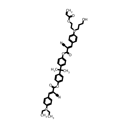 C=CC(=O)OCCN(CCCO)c1ccc(/C=C(\C#N)C(=O)Oc2ccc(C(C)(C)c3ccc(OC(=O)/C(C#N)=C/c4ccc(N(CC)CC)cc4)cc3)cc2)cc1